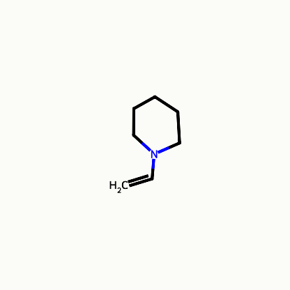 C=CN1CCCCC1